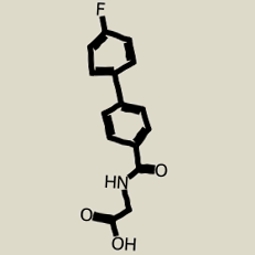 O=C(O)CNC(=O)c1ccc(-c2ccc(F)cc2)cc1